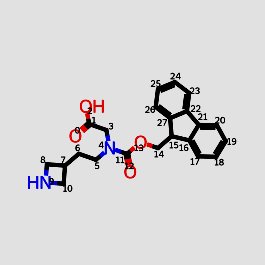 O=C(O)CN(CCC1CNC1)C(=O)OCC1c2ccccc2-c2ccccc21